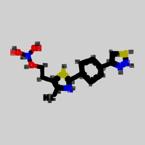 Cc1nc(-c2ccc(-c3csnn3)cc2)sc1CCON(O)O